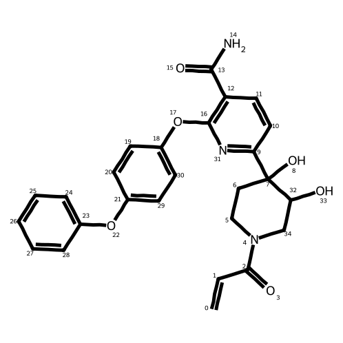 C=CC(=O)N1CCC(O)(c2ccc(C(N)=O)c(Oc3ccc(Oc4ccccc4)cc3)n2)C(O)C1